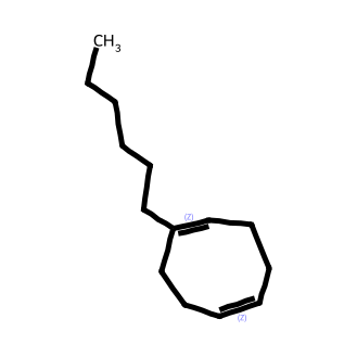 CCCCCC/C1=C/CC/C=C\CC1